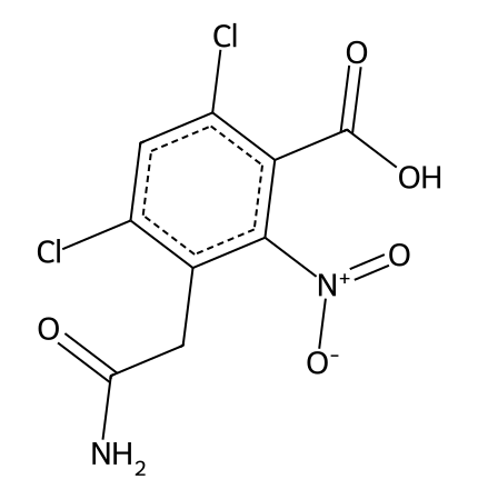 NC(=O)Cc1c(Cl)cc(Cl)c(C(=O)O)c1[N+](=O)[O-]